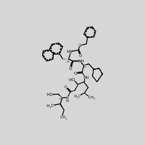 CCC(C)[C@@H](CO)NC(=O)CC(O)C(CC(C)C)NC(=O)[C@H](CC1CCCC1)NC(=O)[C@H](Cc1cccc2ccccc12)NC(=O)OCc1ccccc1